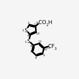 O=C(O)c1csc(Sc2cccc(C(F)(F)F)c2)c1